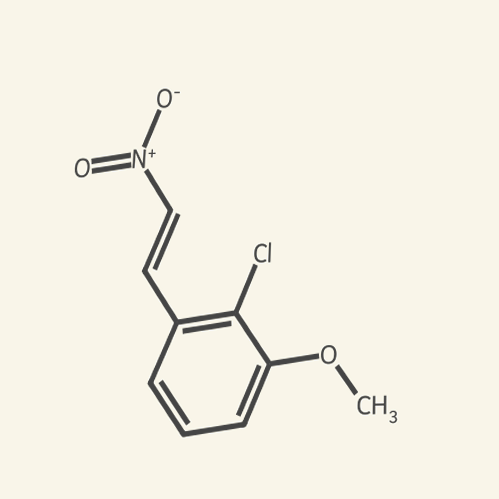 COc1cccc(/C=C/[N+](=O)[O-])c1Cl